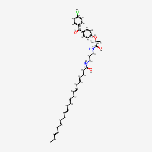 CCC=CCC=CCC=CCC=CCC=CCC=CCCC(=O)NCCCNC(=O)C(C)(C)Oc1ccc(C(=O)c2ccc(Cl)cc2)cc1